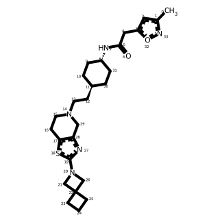 Cc1cc(CC(=O)N[C@H]2CC[C@H](CCN3CCc4sc(N5CC6(CCC6)C5)nc4C3)CC2)on1